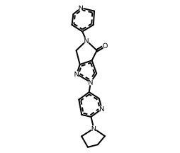 O=C1c2cn(-c3ccc(N4CCCC4)nc3)nc2CN1c1ccncc1